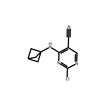 N#Cc1cnc(Cl)nc1NC12CC(C1)C2